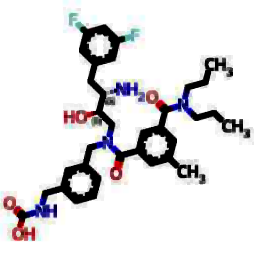 CCCN(CCC)C(=O)c1cc(C)cc(C(=O)N(Cc2cccc(CNC(=O)O)c2)C[C@@H](O)[C@@H](N)Cc2cc(F)cc(F)c2)c1